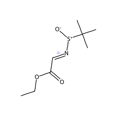 CCOC(=O)/C=N/[S+]([O-])C(C)(C)C